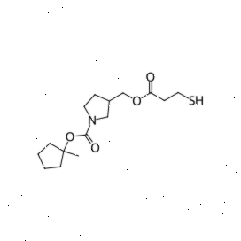 CC1(OC(=O)N2CCC(COC(=O)CCS)C2)CCCC1